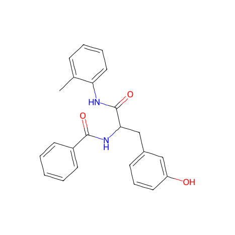 Cc1ccccc1NC(=O)C(Cc1cccc(O)c1)NC(=O)c1ccccc1